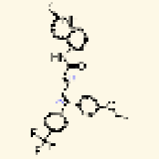 CCOc1ccc(/C(=C\C=C\C(=O)Nc2cccc3[nH]c(=O)ccc23)c2ccc(C(F)(F)F)cc2)cc1